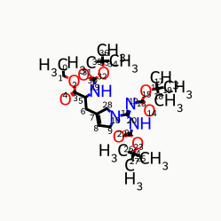 CCOC(=O)C(CC1=CCN(C(=NC(=O)OC(C)(C)C)NC(=O)OC(C)(C)C)C1)NC(=O)OC(C)(C)C